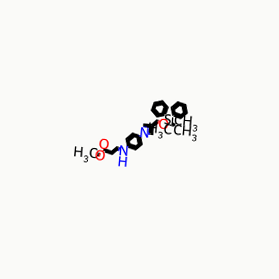 COC(=O)CCNc1ccc(N2CC(CO[Si](c3ccccc3)(c3ccccc3)C(C)(C)C)C2)cc1